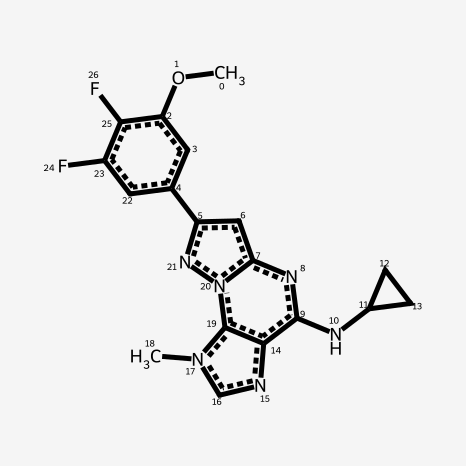 COc1cc(-c2cc3nc(NC4CC4)c4ncn(C)c4n3n2)cc(F)c1F